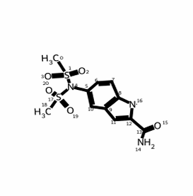 CS(=O)(=O)N(c1ccc2c(c1)C=C(C(N)=O)[N]2)S(C)(=O)=O